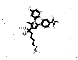 Cc1c(C(N)(CCCCO[N+](=O)[O-])C(=O)O)cc(-c2ccc(S(C)(=O)=O)cc2)n1-c1cccc(F)c1